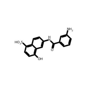 Nc1cccc(C(=O)Nc2ccc3c(S(=O)(=O)O)ccc(O)c3c2)c1